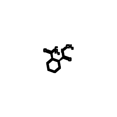 CSC(=O)[C@@H]1CCCC[C@H]1C(C)=O